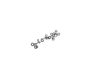 O=C1CCC(N2C(=O)c3ccc(C(=O)NCc4ccc(CN(CCn5c6ccccc6c6cccnc65)C5CC5)cc4)cc3C2=O)C(=O)N1